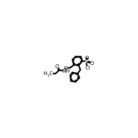 CCC(=O)NOCc1cccc(S(=O)(=O)Cl)c1Cc1ccccc1